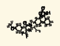 CCCc1nc(C(F)F)c(-c2ccc(OC(C)C)cc2)c(=O)n1Cc1ccc(-c2ccccc2-c2noc(=O)[nH]2)cc1